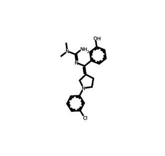 CN(C)/C(N)=N/C(=C1/CCN(c2cccc(Cl)c2)C1)c1cccc(O)c1